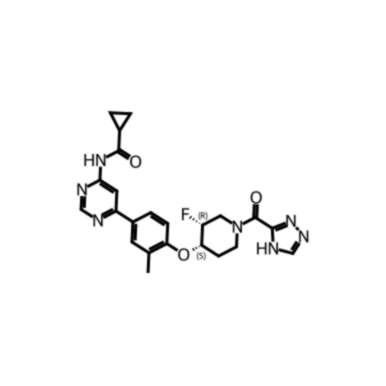 Cc1cc(-c2cc(NC(=O)C3CC3)ncn2)ccc1O[C@H]1CCN(C(=O)c2nnc[nH]2)C[C@H]1F